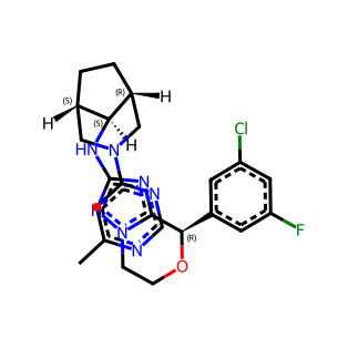 Cc1cc(N2C[C@H]3CC[C@@H](C2)[C@@H]3Nc2nc3n(n2)CCO[C@@H]3c2cc(F)cc(Cl)c2)ncn1